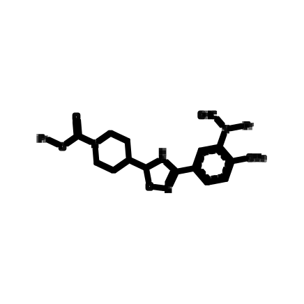 COc1ccc(C2=NOC(C3CCN(C(=O)OC(C)C)CC3)N2)cc1N(C=O)C(C)C